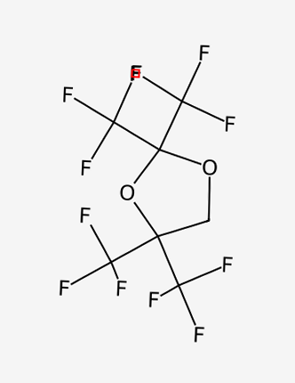 FC(F)(F)C1(C(F)(F)F)COC(C(F)(F)F)(C(F)(F)F)O1